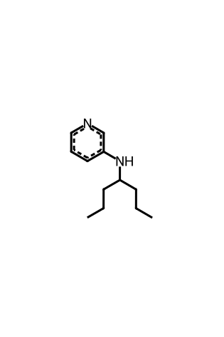 CCCC(CCC)Nc1cccnc1